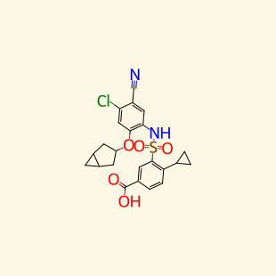 N#Cc1cc(NS(=O)(=O)c2cc(C(=O)O)ccc2C2CC2)c(OC2CC3CC3C2)cc1Cl